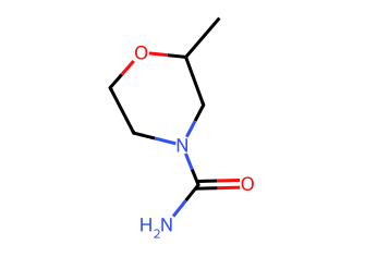 CC1CN(C(N)=O)CCO1